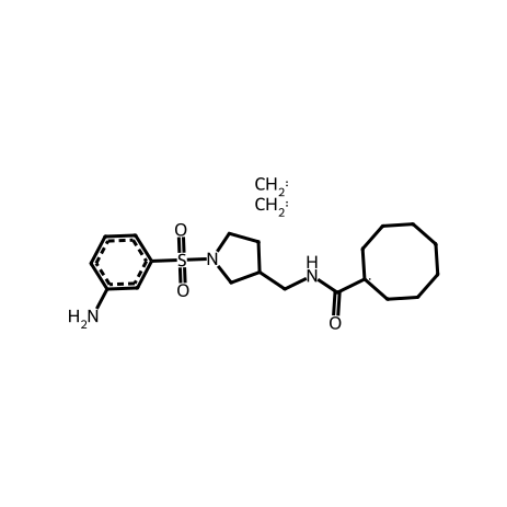 Nc1cccc(S(=O)(=O)N2CCC(CNC(=O)[C]3CCCCCCC3)C2)c1.[CH2].[CH2]